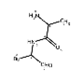 CCC(C)C([C]=O)NC(=O)C(C)N